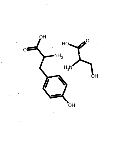 NC(CO)C(=O)O.NC(Cc1ccc(O)cc1)C(=O)O